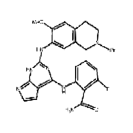 COc1cc2c(cc1Nc1nc(Nc3cccc(F)c3C(N)=O)c3ccnc-3[nH]1)CN(C(C)C)CC2